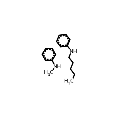 CCCCCNc1ccccc1.CNc1ccccc1